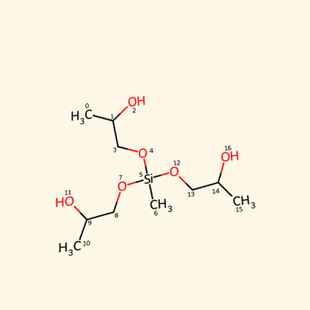 CC(O)CO[Si](C)(OCC(C)O)OCC(C)O